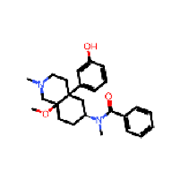 COC12CC[C@H](N(C)C(=O)c3ccccc3)CC1(c1cccc(O)c1)CCN(C)C2